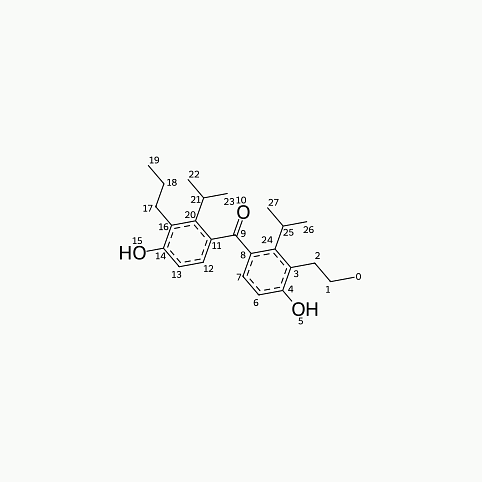 CCCc1c(O)ccc(C(=O)c2ccc(O)c(CCC)c2C(C)C)c1C(C)C